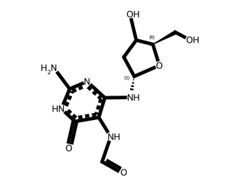 Nc1nc(N[C@@H]2CC(O)[C@@H](CO)O2)c(NC=O)c(=O)[nH]1